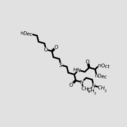 CCCCCCCCCCCCCOC(=O)CCSCCC(NCC(=O)C(CCCCCCCC)CCCCCCCCCC)C(=O)N(C)CCN(C)C